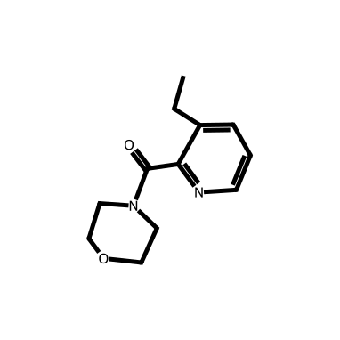 CCc1cccnc1C(=O)N1CCOCC1